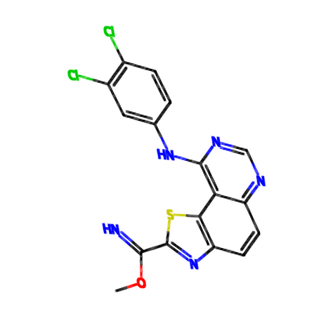 COC(=N)c1nc2ccc3ncnc(Nc4ccc(Cl)c(Cl)c4)c3c2s1